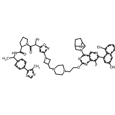 CCc1cccc2cc(O)cc(-c3ncc4c(N5CC6CCC(C5)N6)nc(OCCN5CCN(CC6CN(c7cc(C(C(=O)N8CCCC8C(=O)NC(C)c8ccc(-c9scnc9C)cc8)C(C)C)on7)C6)CC5)nc4c3F)c12